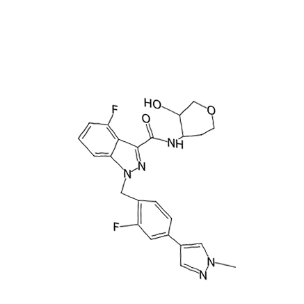 Cn1cc(-c2ccc(Cn3nc(C(=O)NC4CCOCC4O)c4c(F)cccc43)c(F)c2)cn1